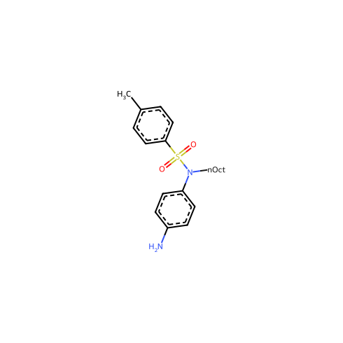 CCCCCCCCN(c1ccc(N)cc1)S(=O)(=O)c1ccc(C)cc1